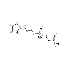 O=C(O)CCNC(=O)CCCC[C@H]1CCSS1